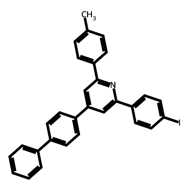 Cc1ccc(-c2cc(-c3ccc(-c4ccccc4)cc3)cc(-c3ccc(I)cc3)n2)cc1